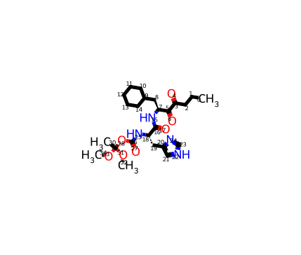 CCCC(=O)C(=O)[C@H](CC1CCCCC1)NC(=O)[C@H](Cc1c[nH]cn1)NC(=O)OC(C)(OC)OC